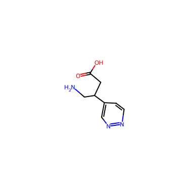 NCC(CC(=O)O)c1ccnnc1